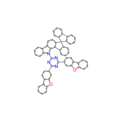 c1ccc2c(c1)-c1ccccc1C21c2ccccc2-c2c1ccc1c3ccccc3n(-c3nc(-c4ccc5c(c4)oc4ccccc45)nc(-c4ccc5c(c4)oc4ccccc45)n3)c21